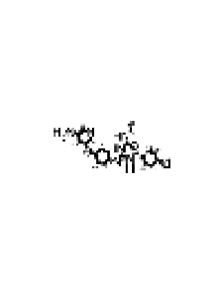 CCNC(=O)N/C(=N\c1ccc(Oc2cncc(N)c2)cc1)NCc1ccc(Cl)cn1